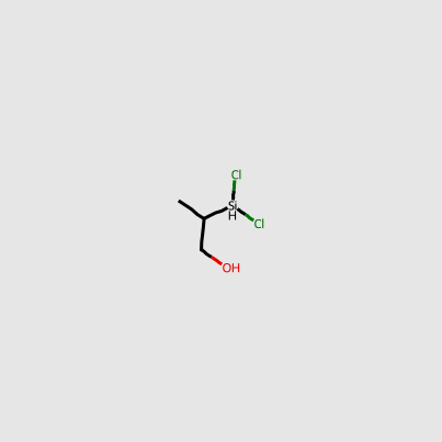 CC(CO)[SiH](Cl)Cl